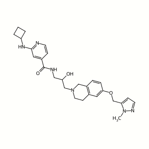 Cn1nccc1COc1ccc2c(c1)CCN(CC(O)CNC(=O)c1ccnc(NC3CCC3)c1)C2